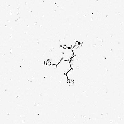 O=C(O)C=[N+](CCO)CCO